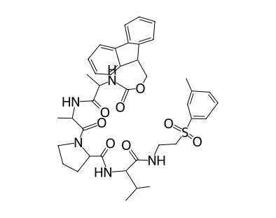 Cc1cccc(S(=O)(=O)CCNC(=O)C(NC(=O)C2CCCN2C(=O)C(C)NC(=O)C(C)NC(=O)OCC2c3ccccc3-c3ccccc32)C(C)C)c1